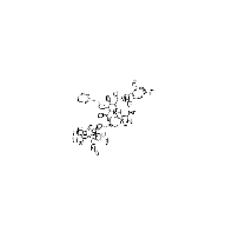 CC(C)(C)[Si](C)(C)OC[C@H]1CC[C@]2(CC(Br)=NO2)[C@H]2CN1C(=O)c1c(OCc3ccccc3)c(=O)c(C(=O)NCc3c(F)cc(F)cc3F)cn12